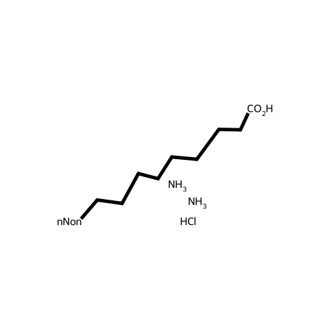 CCCCCCCCCCCCCCCCCC(=O)O.Cl.N.N